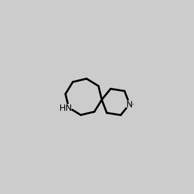 C1CCC2(CC[N]CC2)CCNC1